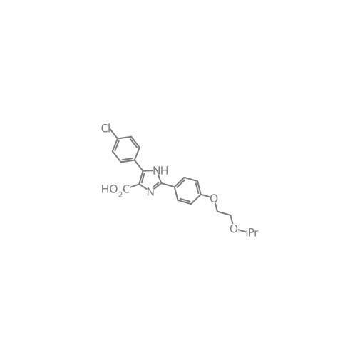 CC(C)OCCOc1ccc(-c2nc(C(=O)O)c(-c3ccc(Cl)cc3)[nH]2)cc1